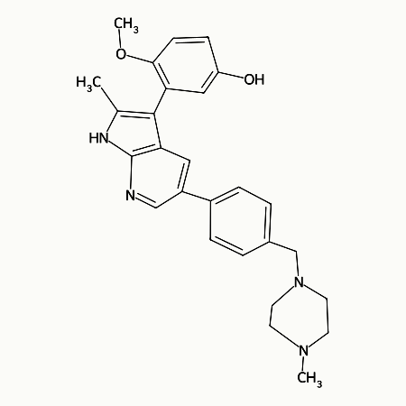 COc1ccc(O)cc1-c1c(C)[nH]c2ncc(-c3ccc(CN4CCN(C)CC4)cc3)cc12